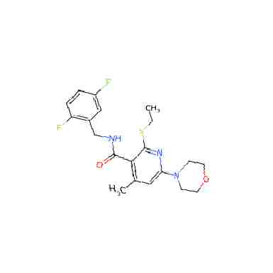 CCSc1nc(N2CCOCC2)cc(C)c1C(=O)NCc1cc(F)ccc1F